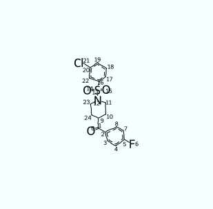 O=C(c1ccc(F)cc1)C1CCN(S(=O)(=O)c2cccc(Cl)c2)CC1